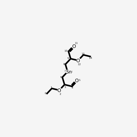 CCOC(C=O)[CH2][Sn][CH2]C(C=O)OCC